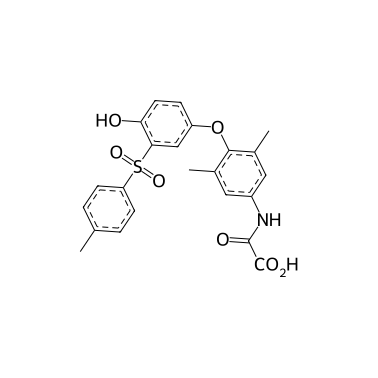 Cc1ccc(S(=O)(=O)c2cc(Oc3c(C)cc(NC(=O)C(=O)O)cc3C)ccc2O)cc1